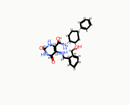 O=C(N[C@H]1CC[C@@H](c2ccccc2)CC1)c1[nH]c(=O)[nH]c(=O)c1NCc1ccccc1CO